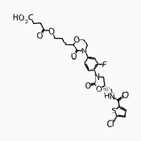 O=C(O)CCC(=O)OCCCC1OCCN(c2ccc(N3C[C@H](CNC(=O)c4ccc(Cl)s4)OC3=O)c(F)c2)C1=O